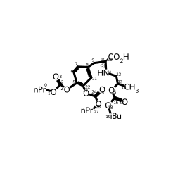 CCCOC(=O)Oc1ccc(C[C@H](NCC(C)OC(=O)OC(C)CC)C(=O)O)cc1OC(=O)OCCC